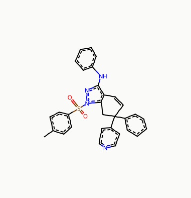 Cc1ccc(S(=O)(=O)n2nc(Nc3ccccc3)c3c2CC(c2ccccc2)(c2ccncc2)C=C3)cc1